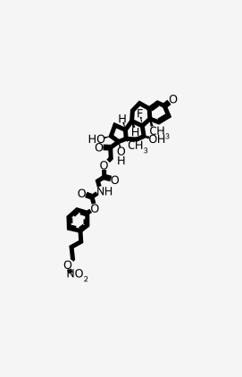 C[C@]12C=CC(=O)C=C1CC[C@H]1[C@@H]3C[C@@H](O)[C@](O)(C(=O)COC(=O)CNC(=O)Oc4cccc(CCCO[N+](=O)[O-])c4)[C@@]3(C)C[C@H](O)[C@@]12F